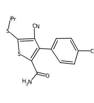 CC(C)Sc1sc(C(N)=O)c(-c2ccc(Cl)cc2)c1C#N